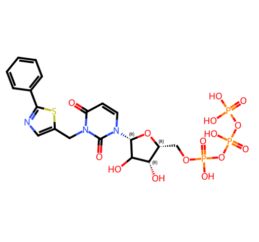 O=c1ccn([C@@H]2O[C@H](COP(=O)(O)OP(=O)(O)OP(=O)(O)O)[C@H](O)C2O)c(=O)n1Cc1cnc(-c2ccccc2)s1